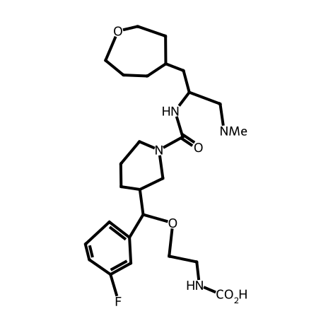 CNCC(CC1CCCOCC1)NC(=O)N1CCCC(C(OCCNC(=O)O)c2cccc(F)c2)C1